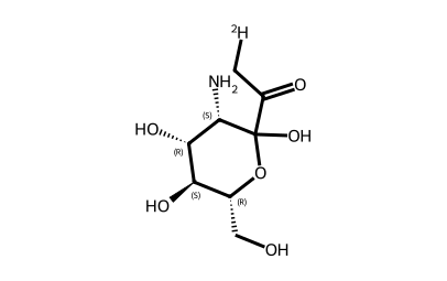 [2H]CC(=O)C1(O)O[C@H](CO)[C@@H](O)[C@H](O)[C@@H]1N